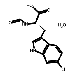 O.O=CN[C@@H](Cc1c[nH]c2cc(Cl)ccc12)C(=O)O